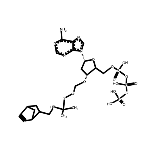 CC(C)(BCC1CC2C#CC1C2)SSCO[C@@H]1C[C@H](n2cnc3c(N)ncnc32)OC1COP(=O)(O)OP(=O)(O)OP(=O)(O)O